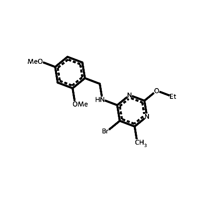 CCOc1nc(C)c(Br)c(NCc2ccc(OC)cc2OC)n1